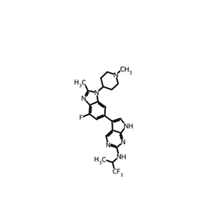 Cc1nc2c(F)cc(-c3c[nH]c4nc(NC(C)C(F)(F)F)ncc34)cc2n1C1CCN(C)CC1